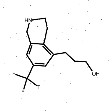 OCCCc1cc(C(F)(F)F)cc2c1CCNC2